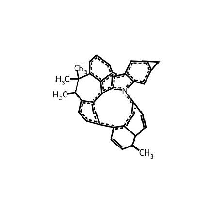 CC1C=Cc2c3cc(n4c5cc6c(cc5c5cc7cccc8c7c(c7cc2ccc7C(C)C8(C)C)c54)C6)C=CC31